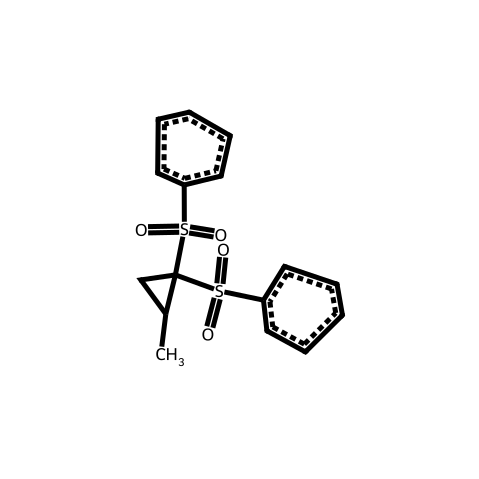 CC1CC1(S(=O)(=O)c1ccccc1)S(=O)(=O)c1ccccc1